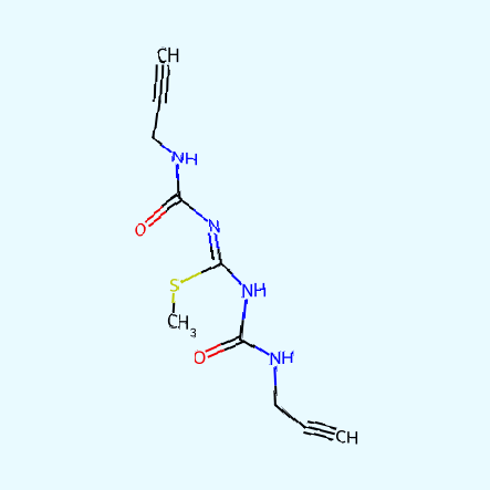 C#CCNC(=O)N=C(NC(=O)NCC#C)SC